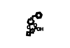 O=C(O)N1CC2(CCC2)C1OC1=CCN(Cc2ccccc2)CC1